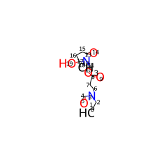 C#CCN(C=O)CCC(=O)OCN1C(=O)CCC1(C)O